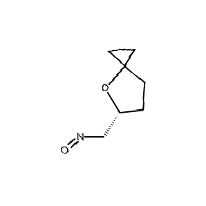 O=NC[C@H]1CCC2(CC2)O1